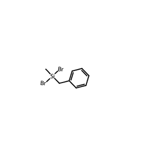 C[Si](Br)(Br)Cc1ccccc1